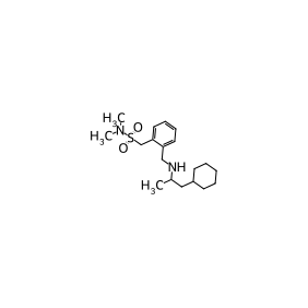 CC(CC1CCCCC1)NCc1ccccc1CS(=O)(=O)N(C)C